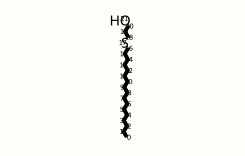 CCCCCCCCCCCCCCCCCSCCCO